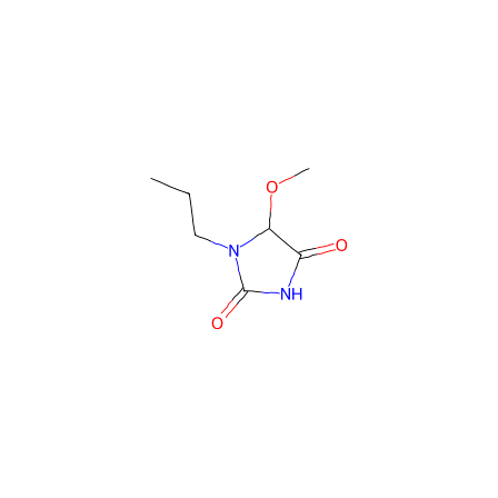 CCCN1C(=O)NC(=O)C1OC